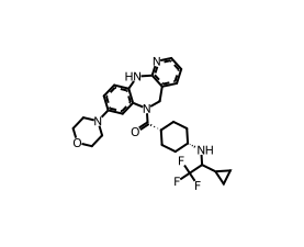 O=C([C@H]1CC[C@@H](NC(C2CC2)C(F)(F)F)CC1)N1Cc2cccnc2Nc2ccc(N3CCOCC3)cc21